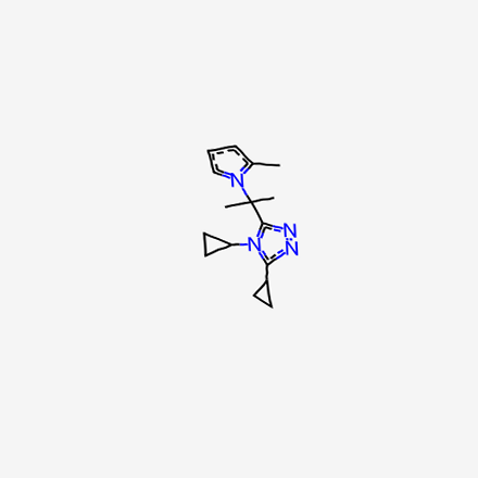 Cc1cccn1C(C)(C)c1nnc(C2CC2)n1C1CC1